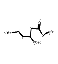 CCCCCCCCCCCCC(CCCCCCCCCC)CC(=O)OCCC